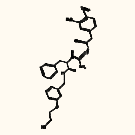 COc1ccc(CC(=O)N=C(N)NC(Cc2ccccc2)C(=O)NCc2cccc(OCCO)c2)cc1OC